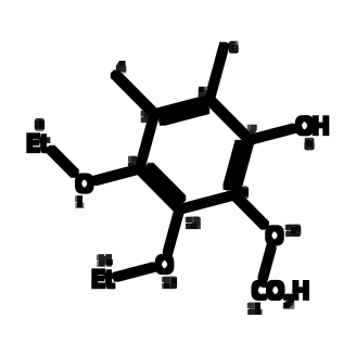 CCOc1c(C)c(C)c(O)c(OC(=O)O)c1OCC